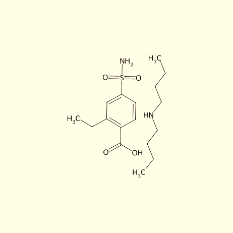 CCCCNCCCC.CCc1cc(S(N)(=O)=O)ccc1C(=O)O